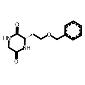 O=C1CNC(=O)[C@H](CCOCc2ccccc2)N1